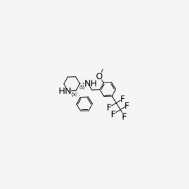 COc1ccc(C(F)(F)C(F)(F)F)cc1CN[C@H]1CCCN[C@H]1c1ccccc1